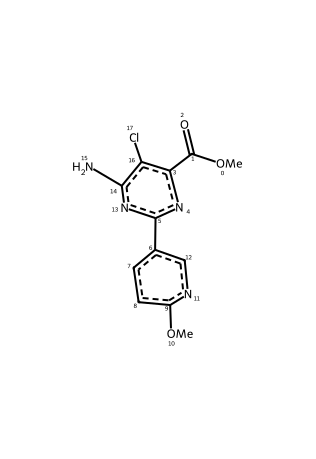 COC(=O)c1nc(-c2ccc(OC)nc2)nc(N)c1Cl